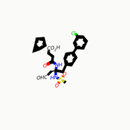 CS(=O)(=O)N[C@@](CC=O)(Cc1ccc(-c2cccc(Cl)c2)cc1)NC(=O)CCC(=O)O.c1cc2cc-2c1